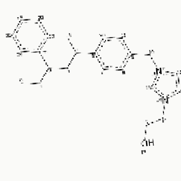 CCC(CC(C)c1ccc(C[n+]2ccn(CCO)c2)cc1)c1ccccc1